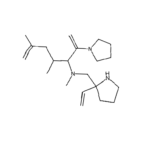 C=CC1(CN(C)C(C(=C)N2CCCC2)C(C)CC(=C)C)CCCN1